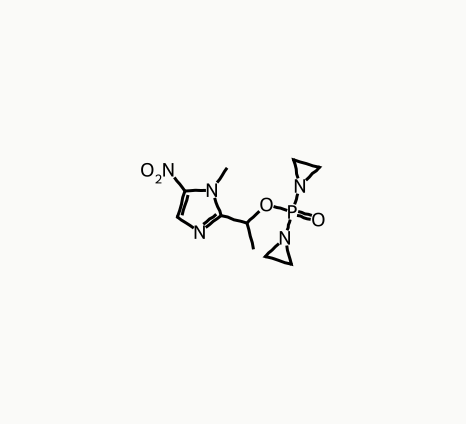 CC(OP(=O)(N1CC1)N1CC1)c1ncc([N+](=O)[O-])n1C